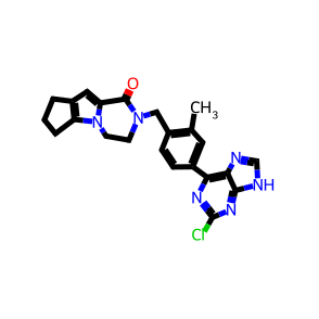 Cc1cc(-c2nc(Cl)nc3[nH]cnc23)ccc1CN1CCn2c(cc3c2CCC3)C1=O